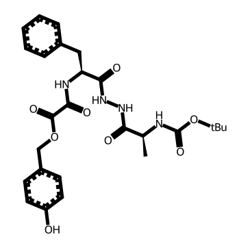 C[C@H](NC(=O)OC(C)(C)C)C(=O)NNC(=O)[C@H](Cc1ccccc1)NC(=O)C(=O)OCc1ccc(O)cc1